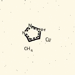 C.[Cu].c1c[nH]nn1